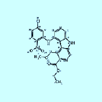 CCOC(=O)c1ncc2[nH]c3cccc(Oc4cc(Cl)ccc4[N+](=O)[O-])c3c2c1COC